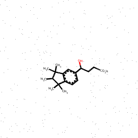 CC1C(C)(C)c2ccc(C(O)CCC(=O)O)cc2C1(C)C